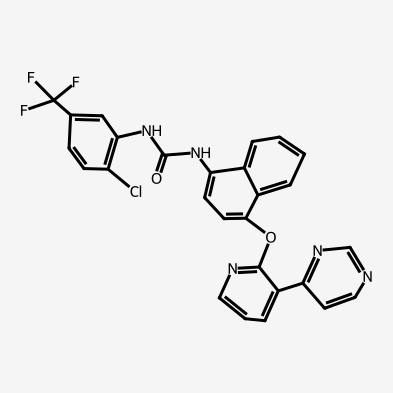 O=C(Nc1cc(C(F)(F)F)ccc1Cl)Nc1ccc(Oc2ncccc2-c2ccncn2)c2ccccc12